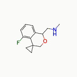 CNCC1OCC2(CC2)c2c(F)cccc21